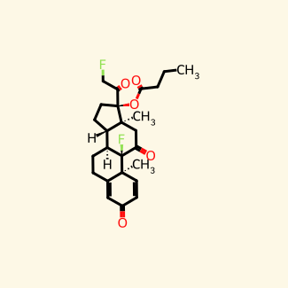 CCCC(=O)O[C@]1(C(=O)CF)CC[C@H]2[C@@H]3CCC4=CC(=O)C=C[C@]4(C)[C@@]3(F)C(=O)C[C@@]21C